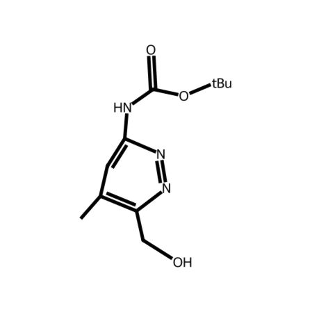 Cc1cc(NC(=O)OC(C)(C)C)nnc1CO